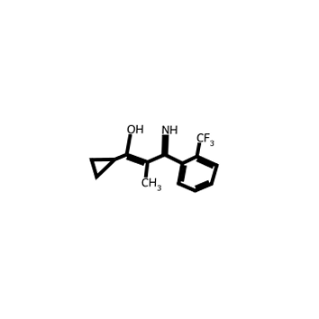 C/C(C(=N)c1ccccc1C(F)(F)F)=C(/O)C1CC1